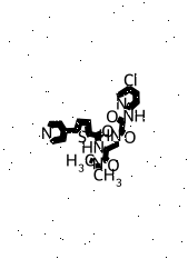 CN(C)C(=O)C(CNC(=O)C(=O)Nc1ccc(Cl)cn1)NC(=O)c1ccc(-c2ccncc2)s1